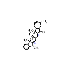 CCN1C2=C(CC#CC(C)C2)C(C)(C)/C1=C\C(=O)/C=C1/N(C)c2ccccc2C1(C)C